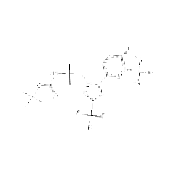 [2H]C([2H])([2H])n1cc(-c2cc(C(F)(F)F)nn2CC(C)(C)NC(=O)OC(C)(C)C)ccc1=O